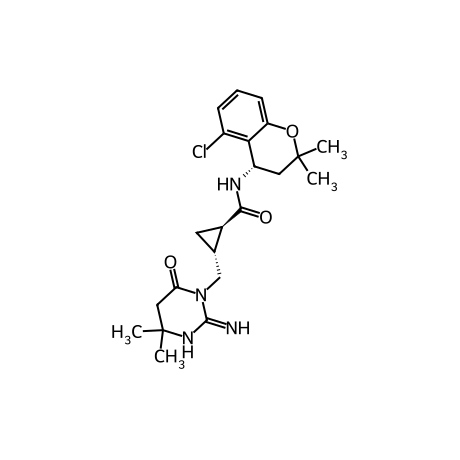 CC1(C)CC(=O)N(C[C@@H]2C[C@H]2C(=O)N[C@H]2CC(C)(C)Oc3cccc(Cl)c32)C(=N)N1